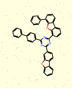 c1ccc(-c2ccc(-c3nc(-c4ccc5c(c4)oc4ccccc45)nc(-c4cccc5c4oc4c(-c6ccccc6)cccc45)n3)cc2)cc1